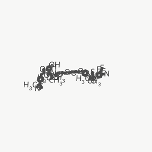 Cc1ncsc1-c1ccc(CCC(=O)[C@@H]2C[C@@H](O)CN2C(=O)[C@@H](NC(=O)COCCOCCOCCOc2ccc(N3C(=S)N(c4ccc(C#N)c(C(F)(F)F)c4)C(=O)C3(C)C)cc2)C(C)(C)C)cc1